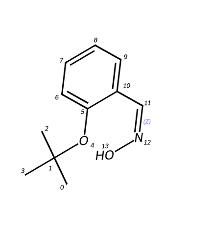 CC(C)(C)Oc1ccccc1/C=N\O